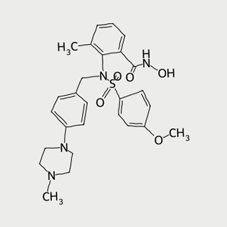 COc1ccc(S(=O)(=O)N(Cc2ccc(N3CCN(C)CC3)cc2)c2c(C)cccc2C(=O)NO)cc1